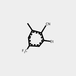 CCc1cc(C(F)(F)F)cc(C)c1C#N